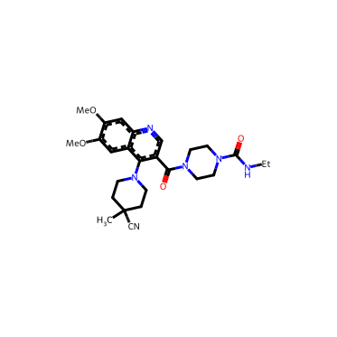 CCNC(=O)N1CCN(C(=O)c2cnc3cc(OC)c(OC)cc3c2N2CCC(C)(C#N)CC2)CC1